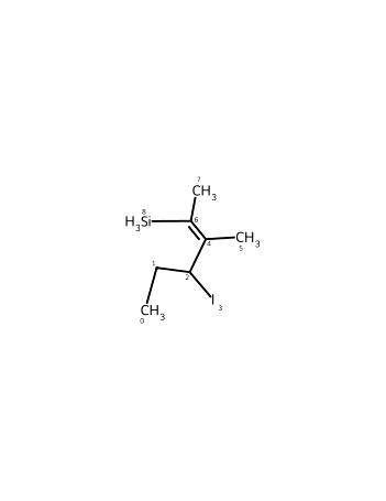 CCC(I)C(C)=C(C)[SiH3]